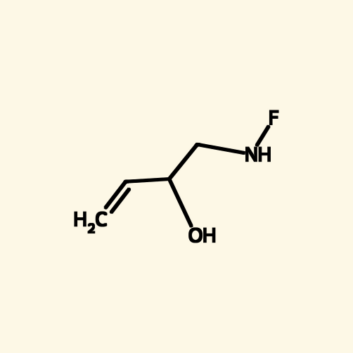 C=CC(O)CNF